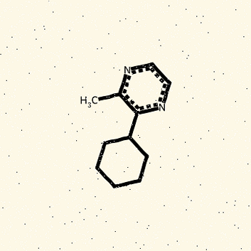 Cc1nccnc1C1[CH]CCCC1